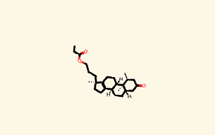 CCC(=O)OCCC[C@]1(C)CCC2=C1CC[C@H]1[C@H]2CC[C@H]2CC(=O)C[C@H](C)[C@@]21C